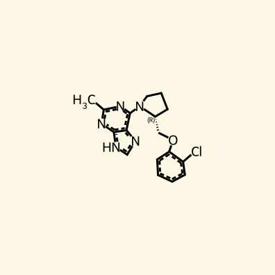 Cc1nc(N2CCC[C@@H]2COc2ccccc2Cl)c2nc[nH]c2n1